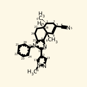 C[C@@H]1CC(C#N)=C[C@]2(C)c3nc(-c4cnn(C)c4)n(-c4ccccc4)c3CC[C@@H]12